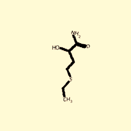 CCSCCC(O)C(N)=O